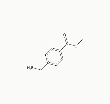 BCc1ccc(S(=O)OC)cc1